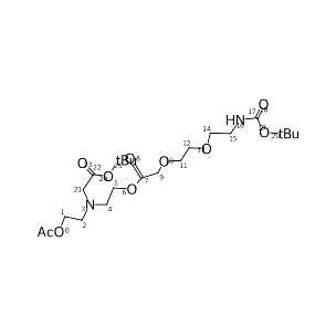 CC(=O)OCCN(CCOC(=O)COCCOCCNC(=O)OC(C)(C)C)CC(=O)OC(C)(C)C